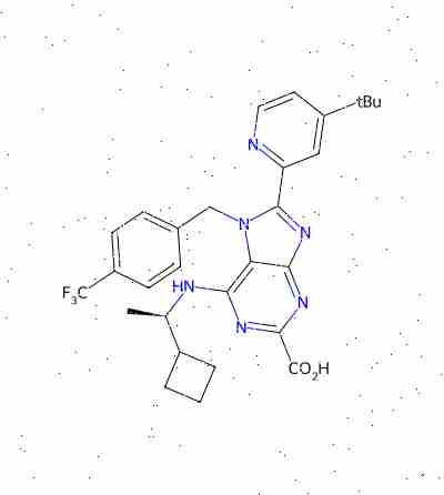 C[C@@H](Nc1nc(C(=O)O)nc2nc(-c3cc(C(C)(C)C)ccn3)n(Cc3ccc(C(F)(F)F)cc3)c12)C1CCC1